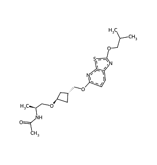 CC(=O)N[C@@H](C)CO[C@H]1C[C@H](COc2ccc3nc(OCC(C)C)sc3n2)C1